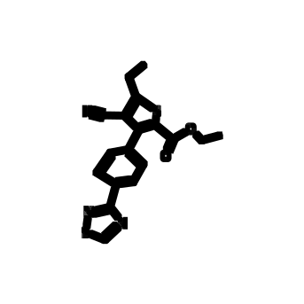 CCOC(=O)c1sc(CC)c(C#N)c1-c1ccc(-c2ncsn2)cc1